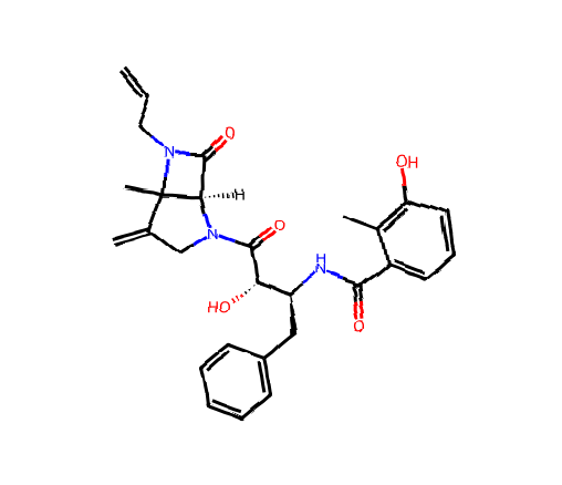 C=CCN1C(=O)[C@H]2N(C(=O)[C@@H](O)[C@H](Cc3ccccc3)NC(=O)c3cccc(O)c3C)CC(=C)C21C